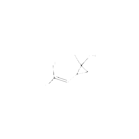 CC(=CC1CC1(C)C)C(F)(F)F